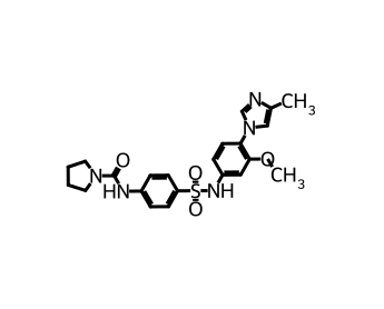 COc1cc(NS(=O)(=O)c2ccc(NC(=O)N3CCCC3)cc2)ccc1-n1cnc(C)c1